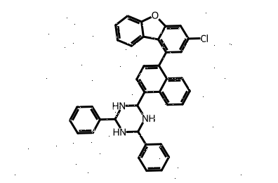 Clc1cc(-c2ccc(C3NC(c4ccccc4)NC(c4ccccc4)N3)c3ccccc23)c2c(c1)oc1ccccc12